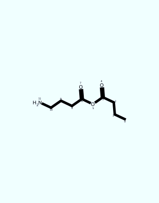 CCCC(=O)OC(=O)CCCN